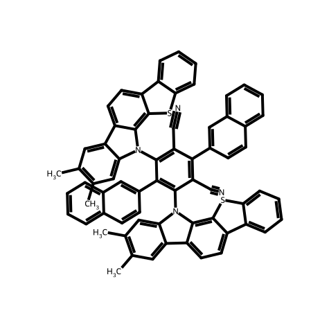 Cc1cc2c3ccc4c5ccccc5sc4c3n(-c3c(C#N)c(-c4ccc5ccccc5c4)c(C#N)c(-n4c5cc(C)c(C)cc5c5ccc6c7ccccc7sc6c54)c3-c3ccc4ccccc4c3)c2cc1C